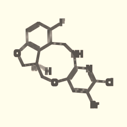 Fc1ccc2c3c1CNc1nc(Cl)c(Br)cc1OC[C@H]3CO2